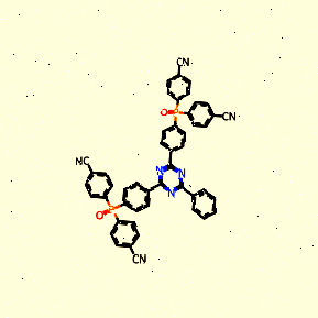 N#Cc1ccc(P(=O)(c2ccc(C#N)cc2)c2ccc(-c3nc(-c4ccccc4)nc(-c4ccc(P(=O)(c5ccc(C#N)cc5)c5ccc(C#N)cc5)cc4)n3)cc2)cc1